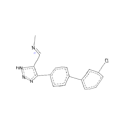 C/N=C/c1[nH]nnc1-c1ccc(-c2cccc(Cl)c2)cc1